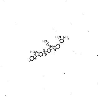 Cc1ccc2[nH]c(-c3ccc(S(=O)(=O)c4ccc(-c5nc6ccc(-c7ccc(N)c(N)c7)cc6[nH]5)c(SOOO)c4)cc3S(=O)(=O)O)nc2c1